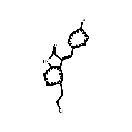 CCc1ccc(C=C2C(=O)Nc3ccc(CCCl)cc32)cc1